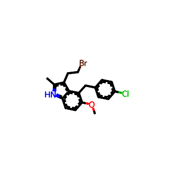 COc1ccc2[nH]c(C)c(CCBr)c2c1Cc1ccc(Cl)cc1